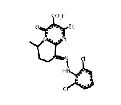 CCc1nc2n(c(=O)c1C(=O)O)C(C)CCC2=NNc1c(Cl)cccc1Cl